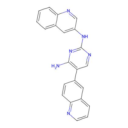 Nc1nc(Nc2cnc3ccccc3c2)ncc1-c1ccc2ncccc2c1